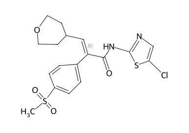 CS(=O)(=O)c1ccc(/C(=C\C2CCOCC2)C(=O)Nc2ncc(Cl)s2)cc1